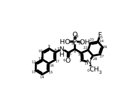 CN1C=C(C(C(=O)Nc2ccc3ccccc3c2)P(=O)(O)O)C2C=C(F)C=CC21